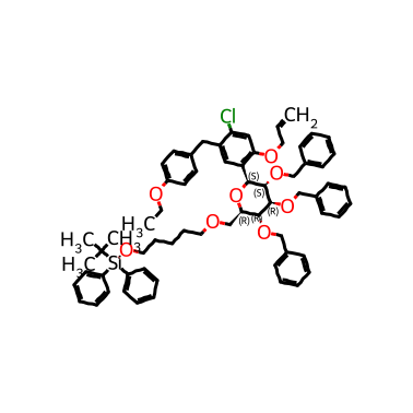 C=CCOc1cc(Cl)c(Cc2ccc(OCC)cc2)cc1[C@@H]1O[C@H](COCCCCCO[Si](c2ccccc2)(c2ccccc2)C(C)(C)C)[C@@H](OCc2ccccc2)[C@H](OCc2ccccc2)[C@H]1OCc1ccccc1